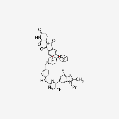 Cc1nc2c(F)cc(-c3nc(Nc4ccc(CN5CCC(CN6C7CC6CN(c6cc8c(cc6F)C(=O)N(C6CCC(=O)NC6=O)C8=O)C7)CC5)cn4)ncc3F)cc2n1C(C)C